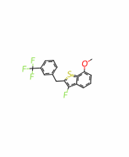 COc1cccc2c(F)c(Cc3cccc(C(F)(F)F)c3)sc12